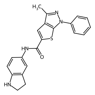 Cc1nn(-c2ccccc2)c2sc(C(=O)Nc3ccc4c(c3)CCN4)cc12